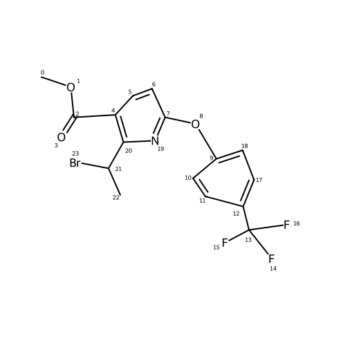 COC(=O)c1ccc(Oc2ccc(C(F)(F)F)cc2)nc1C(C)Br